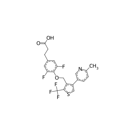 Cc1ccc(-c2csc(C(F)(F)F)c2COc2c(F)cc(CCC(=O)O)cc2F)cn1